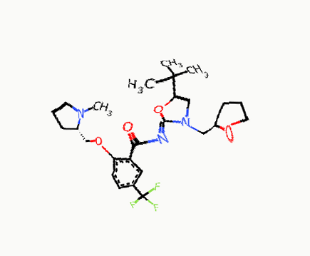 CN1CCC[C@H]1COc1ccc(C(F)(F)F)cc1C(=O)/N=C1\OC(C(C)(C)C)CN1C[C@H]1CCCO1